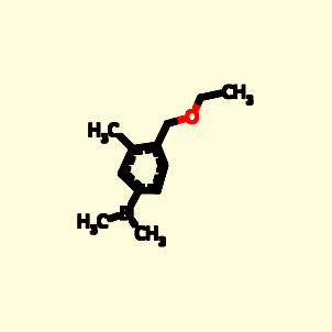 CCOCc1cc[c]([Bi]([CH3])[CH3])cc1C